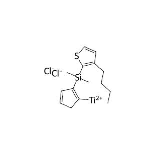 CCCCc1ccsc1[Si](C)(C)C1=[C]([Ti+2])CC=C1.[Cl-].[Cl-]